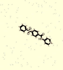 O=C(Nc1ccncc1)c1ccc(S(=O)(=O)c2ccccc2)cc1